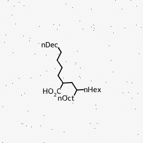 CCCCCCCCCCCCCCC(CC(CCCCCC)CCCCCCCC)C(=O)O